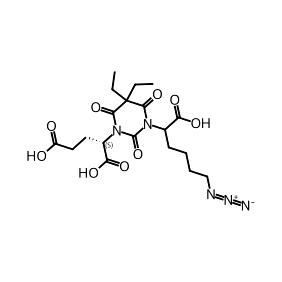 CCC1(CC)C(=O)N(C(CCCCN=[N+]=[N-])C(=O)O)C(=O)N([C@@H](CCC(=O)O)C(=O)O)C1=O